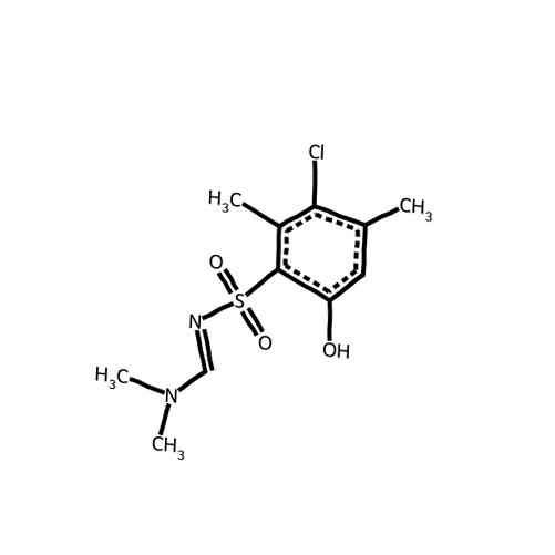 Cc1cc(O)c(S(=O)(=O)N=CN(C)C)c(C)c1Cl